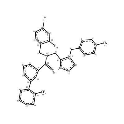 N#Cc1ccc(Cn2cnnc2CN(Cc2ccc(F)cc2F)C(=O)c2cccc(-c3ccccc3C(F)(F)F)c2)cc1